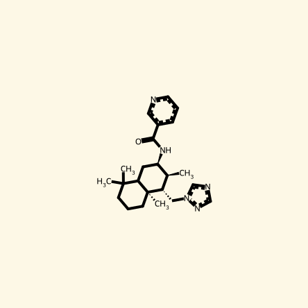 C[C@@H]1[C@H](NC(=O)c2cccnc2)CC2C(C)(C)CCC[C@]2(C)[C@H]1Cn1cncn1